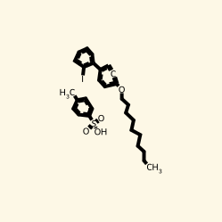 CCCCCCCCCCOc1ccc(-c2ccccc2I)cc1.Cc1ccc(S(=O)(=O)O)cc1